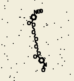 O=C=Nc1ccc(C(=O)OCCOCCOCCOCCOC(=O)c2ccc(N=C=O)cc2)cc1